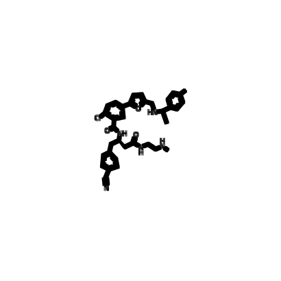 CNCCNC(=O)C[C@@H](Cc1ccc(C#N)cc1)NC(=O)c1cc(-c2ccc(CNC(C)c3ccc(C)cc3)o2)ccc1Cl